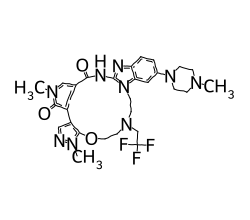 CN1CCN(c2ccc3nc4n(c3c2)CCN(CC(F)(F)F)CCOc2c(cnn2C)-c2cc(cn(C)c2=O)C(=O)N4)CC1